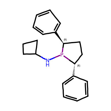 c1ccc([C@H]2CC[C@H](c3ccccc3)P2NC2CCC2)cc1